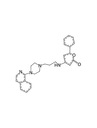 O=c1cc(NCCCN2CCN(c3nccc4ccccc34)CC2)cc(-c2ccccc2)o1